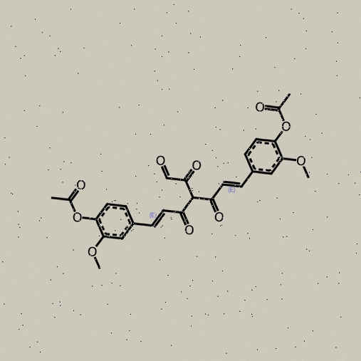 COc1cc(/C=C/C(=O)C(C(=O)C=O)C(=O)/C=C/c2ccc(OC(C)=O)c(OC)c2)ccc1OC(C)=O